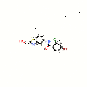 O=C(Nc1ccc2sc(CO)nc2c1)c1ccc(Br)cc1Cl